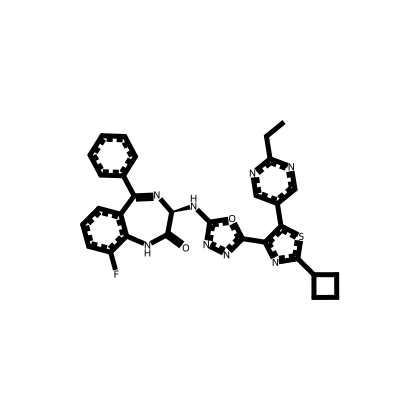 CCc1ncc(-c2sc(C3CCC3)nc2-c2nnc(N[C@@H]3N=C(c4ccccc4)c4cccc(F)c4NC3=O)o2)cn1